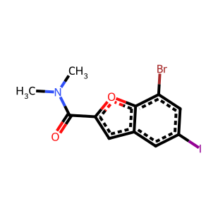 CN(C)C(=O)c1cc2cc(I)cc(Br)c2o1